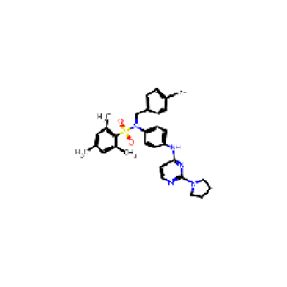 Cc1cc(C)c(S(=O)(=O)N(Cc2ccc(C(C)C)cc2)c2ccc(Nc3ccnc(N4CCCC4)n3)cc2)c(C)c1